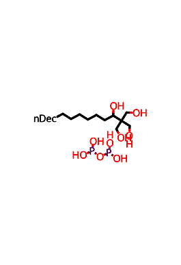 CCCCCCCCCCCCCCCCC(O)C(CO)(CO)CO.OP(O)OP(O)O